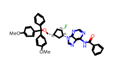 COc1ccc(C(OC[C@@H]2[CH][C@H](F)[C@H](n3cnc4c(NC(=O)c5ccccc5)ncnc43)C2)(c2ccccc2)c2ccc(OC)cc2)cc1